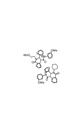 COCCN1C(=O)c2ccccc2C(C(=O)Nc2cccc(OC)c2)C1c1ccccn1.COc1cccc(NC(=O)C2c3ccccc3C(=O)N(C3CCCCC3)C2c2cccs2)c1